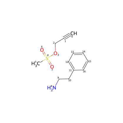 C#CCOS(C)(=O)=O.NCCc1ccccc1